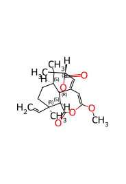 C=C[C@@]1(C)CC[C@H]2C(C)(C)[C@@H]3C=C4C=C(OC)OC(=O)[C@@H]1[C@@]42OC3=O